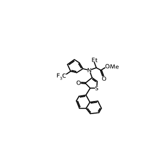 CCC(C(=O)OC)N(C1=CSC(c2cccc3ccccc23)C1=O)c1cccc(C(F)(F)F)c1